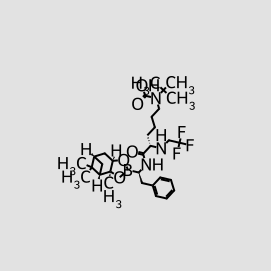 CC1(C)[C@@H]2C[C@H]3OB([C@H](Cc4ccccc4)NC(=O)[C@H](CCCCN(C(=O)O)C(C)(C)C)NCC(F)(F)F)O[C@@]3(C)[C@H]1C2